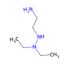 CCN(CC)NCCN